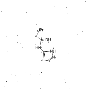 CC(C)CC(=N)Nc1ccn[nH]1